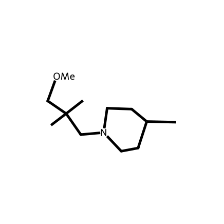 COCC(C)(C)CN1CCC(C)CC1